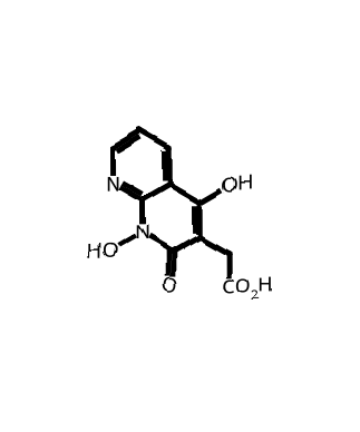 O=C(O)Cc1c(O)c2cccnc2n(O)c1=O